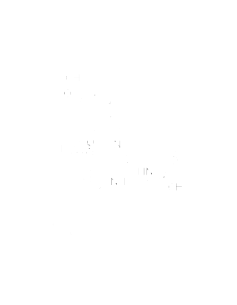 COc1ccc(CN2C(=O)C(NC(=O)Cc3ccccc3)C2CNC(C)=O)c(OC)c1